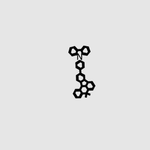 CC1(C)C2=CC=CC3C4C=C(c5ccc(-n6c7ccccc7c7ccccc76)cc5)C=CC4C(c4ccccc41)C23